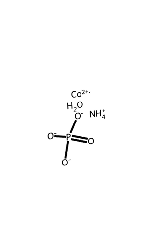 O.O=P([O-])([O-])[O-].[Co+2].[NH4+]